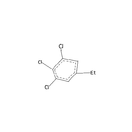 CCc1cc(Cl)c(Cl)c(Cl)c1